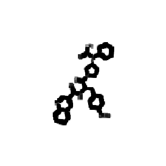 CCCC(=O)N(c1ccccc1)[C@@H]1CCN(C(=O)[C@@H](Cc2ccc(OC)cc2)NC(=O)c2cnc3ccccc3c2)C1